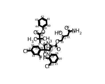 CC(C)(C[C@@H]1N[C@@H](C(=O)OC[C@@H](O)CC(N)=O)[C@H](c2cccc(Cl)c2F)[C@@]1(C#N)c1ccc(Cl)cc1F)C(=O)Oc1ccccc1